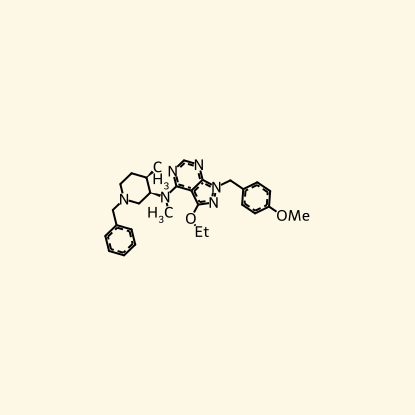 CCOc1nn(Cc2ccc(OC)cc2)c2ncnc(N(C)[C@H]3CN(Cc4ccccc4)CC[C@H]3C)c12